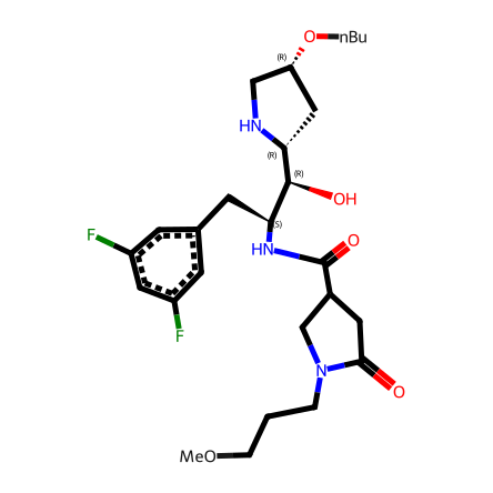 CCCCO[C@H]1CN[C@@H]([C@@H](O)[C@H](Cc2cc(F)cc(F)c2)NC(=O)C2CC(=O)N(CCCOC)C2)C1